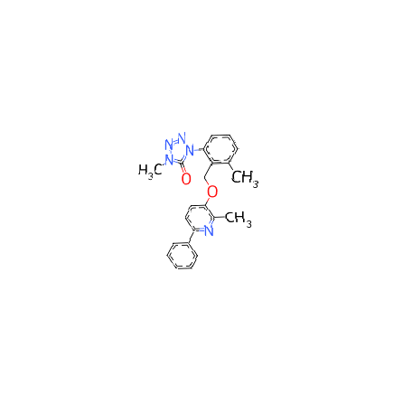 Cc1cccc(-n2nnn(C)c2=O)c1COc1ccc(-c2ccccc2)nc1C